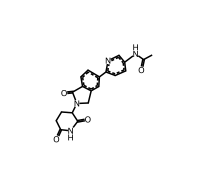 CC(=O)Nc1ccc(-c2ccc3c(c2)CN(C2CCC(=O)NC2=O)C3=O)nc1